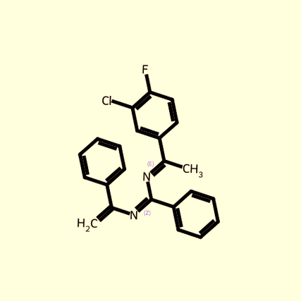 C=C(/N=C(\N=C(/C)c1ccc(F)c(Cl)c1)c1ccccc1)c1ccccc1